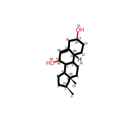 C[C@H]1CCC2C3C(CC[C@@]21C)[C@H]1CC[C@H](O)CC1=C[C@@H]3O